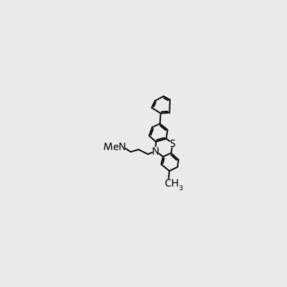 CNCCCN1C2=CC(C)CC=C2Sc2cc(-c3ccccc3)ccc21